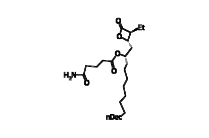 CCCCCCCCCCCCCCCCC[C@@H](C[C@@H]1OC(=O)[C@H]1CC)OC(=O)CCCC(N)=O